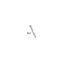 [Au+].[N-]=C=S